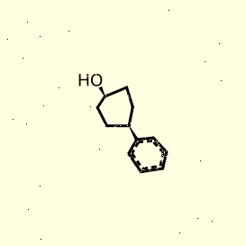 O[C@H]1CC[C@@H](c2ccccc2)CC1